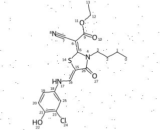 CCCCn1c(=C(C#N)C(=O)OCC)sc(=CNc2ccc(O)c(Cl)c2)c1=O